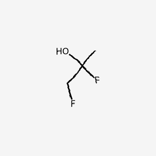 CC(O)(F)CF